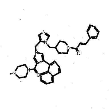 CN1CCN(C(=O)c2cn(Cc3cncn3CC3CCN(C(=O)C=Cc4ccccc4)CC3)cc2-c2cccc3ccccc23)CC1